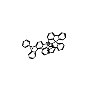 c1ccc(N(c2ccc3c(c2)c2ccccc2n3-c2ccccc2)c2cccc3c2C2(c4ccccc4-3)c3ccccc3-c3c2oc2ccccc32)cc1